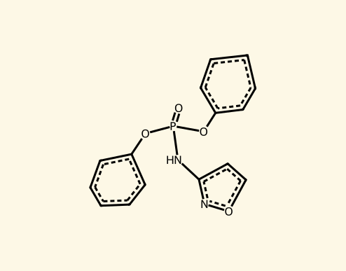 O=P(Nc1ccon1)(Oc1ccccc1)Oc1ccccc1